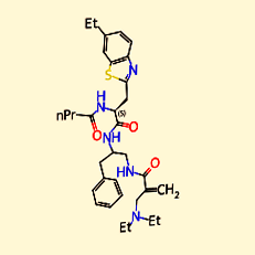 C=C(CN(CC)CC)C(=O)NCC(Cc1ccccc1)NC(=O)[C@H](Cc1nc2ccc(CC)cc2s1)NC(=O)CCC